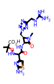 CN1C(=O)[C@@H](NC(=O)C(NOC(C)(C)C(=O)O)c2csc(N)n2)[C@H]1Cn1nnc(CNC(=N)N)n1